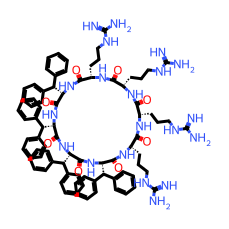 N=C(N)NCCC[C@@H]1NC(=O)[C@H](CCCNC(=N)N)NC(=O)[C@H](CCCNC(=N)N)NC(=O)[C@H](C(c2ccccc2)c2ccccc2)NC(=O)[C@H](C(c2ccccc2)c2ccccc2)NC(=O)[C@H](C(c2ccccc2)c2ccccc2)NC(=O)[C@H](C(c2ccccc2)c2ccccc2)NC(=O)[C@H](CCCNC(=N)N)NC1=O